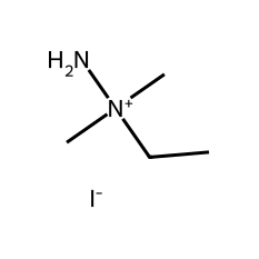 CC[N+](C)(C)N.[I-]